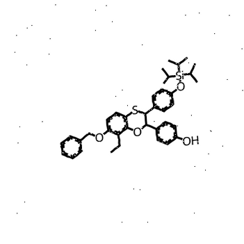 CCc1c(OCc2ccccc2)ccc2c1OC(c1ccc(O)cc1)C(c1ccc(O[Si](C(C)C)(C(C)C)C(C)C)cc1)S2